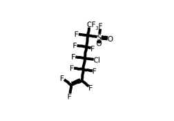 O=S(=O)(F)C(F)(C(F)(F)F)C(F)(F)C(F)(Cl)C(F)(F)C(F)=C(F)F